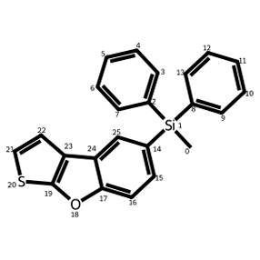 C[Si](c1ccccc1)(c1ccccc1)c1ccc2oc3sccc3c2c1